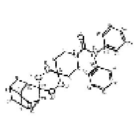 O=C(N1CCC2(CC1)OOC1(OO2)C2CC3CC(C2)CC1C3)N(c1ccccc1)c1ccccc1